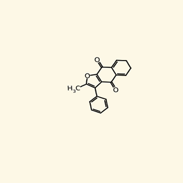 Cc1oc2c(c1-c1ccccc1)C(=O)C1=CCCC=C1C2=O